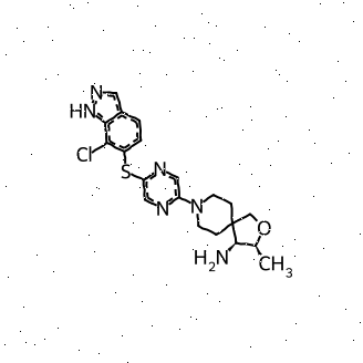 C[C@@H]1OCC2(CCN(c3cnc(Sc4ccc5cn[nH]c5c4Cl)cn3)CC2)[C@@H]1N